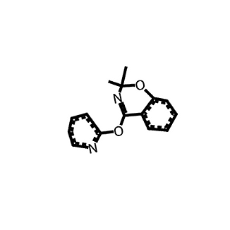 CC1(C)N=C(Oc2ccccn2)c2ccccc2O1